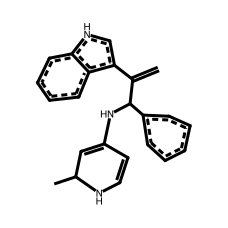 C=C(c1c[nH]c2ccccc12)C(NC1=CC(C)NC=C1)c1ccccc1